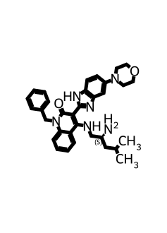 CC(C)C[C@H](N)CNc1c(-c2nc3cc(N4CCOCC4)ccc3[nH]2)c(=O)n(Cc2ccccc2)c2ccccc12